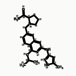 Cc1cc(Nc2cc3cc(CN4CCCC4C(N)=O)ccc3c(OC(C)C)n2)n[nH]1